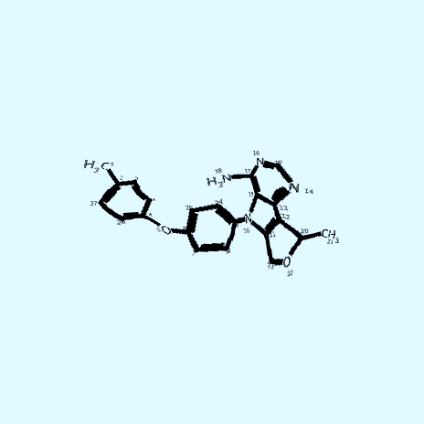 Cc1ccc(Oc2ccc(-n3c4c(c5ncnc(N)c53)C(C)OC4)cc2)cc1